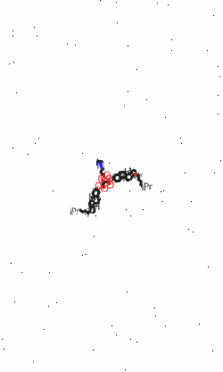 CC(C)CCC[C@@H](C)[C@H]1CC[C@H]2[C@@H]3CC=C4C[C@@H](OC(=O)C(OC(=O)CCN5CCC5)C(=O)O[C@H]5CC[C@@]6(C)C(=CC[C@H]7[C@@H]8CC[C@H]([C@H](C)CCCC(C)C)[C@@]8(C)CC[C@@H]76)C5)CC[C@]4(C)[C@H]3CC[C@]12C